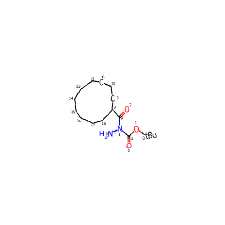 CC(C)(C)OC(=O)N(N)C(=O)C1CCCCCCCCCC1